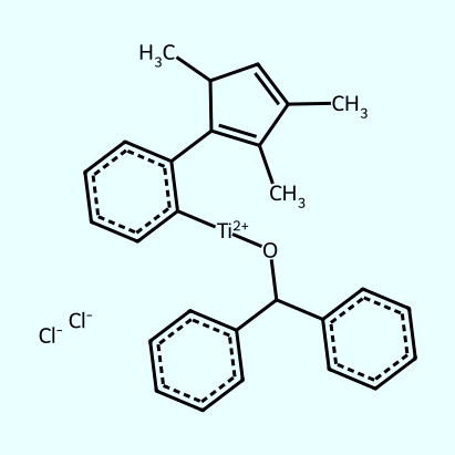 CC1=CC(C)C(c2cccc[c]2[Ti+2][O]C(c2ccccc2)c2ccccc2)=C1C.[Cl-].[Cl-]